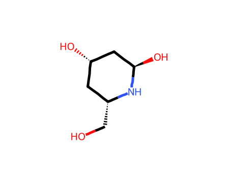 OC[C@@H]1C[C@H](O)C[C@@H](O)N1